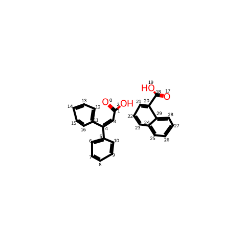 O=C(O)C=C(c1ccccc1)c1ccccc1.O=C(O)c1cccc2ccccc12